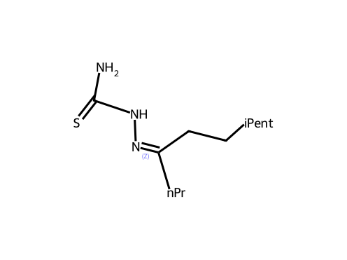 CCC/C(CCC(C)CCC)=N/NC(N)=S